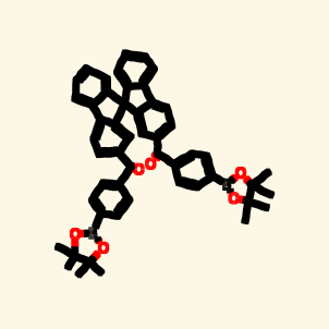 CC1(C)OB(c2ccc(C(=O)c3ccc4c(c3)C3(c5ccccc5-4)c4ccccc4-c4ccc(C(=O)c5ccc(B6OC(C)(C)C(C)(C)O6)cc5)cc43)cc2)OC1(C)C